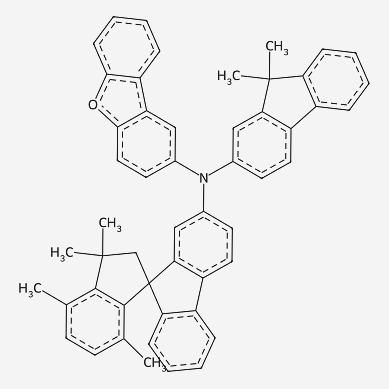 Cc1ccc(C)c2c1C(C)(C)CC21c2ccccc2-c2ccc(N(c3ccc4c(c3)C(C)(C)c3ccccc3-4)c3ccc4oc5ccccc5c4c3)cc21